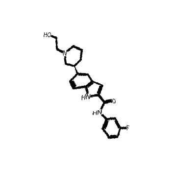 O=C(Nc1cccc(F)c1)c1cc2cc([C@@H]3CCCN(CCO)C3)ccc2[nH]1